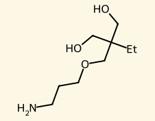 CCC(CO)(CO)COCCCN